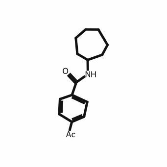 CC(=O)c1ccc(C(=O)NC2CCCCCC2)cc1